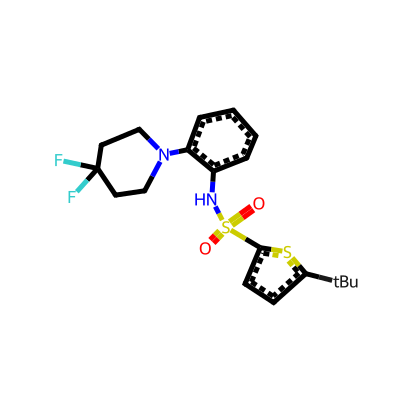 CC(C)(C)c1ccc(S(=O)(=O)Nc2ccccc2N2CCC(F)(F)CC2)s1